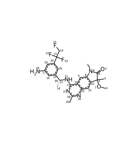 COC1(C)C(=O)N(C)c2cc3c(N[C@H](C)c4cc(N)cc(C(F)(F)CF)c4)nc(C)nc3cc21